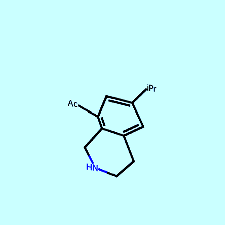 CC(=O)c1cc(C(C)C)cc2c1CNCC2